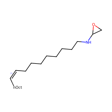 CCCCCCCC/C=C\CCCCCCCCNC1CO1